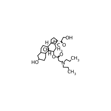 CCCN(CCC)CC(=O)OC1C[C@]2(C)[C@@H](C(=O)CO)CC[C@H]2[C@@H]2CCC3CC(O)CC[C@]3(C)[C@@H]12